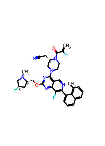 C=C(F)C(=O)N1CCN(c2nc(OC[C@@H]3C[C@@H](F)CN3C)nc3c(F)c(-c4cccc5cccc(C)c45)ncc23)C[C@@H]1CC#N